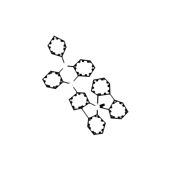 O=S12(c3ccccc3-c3ccccc31)c1ccccc1-c1ccc(N3c4ccccc4B(c4ccccc4)c4ccccc43)cc12